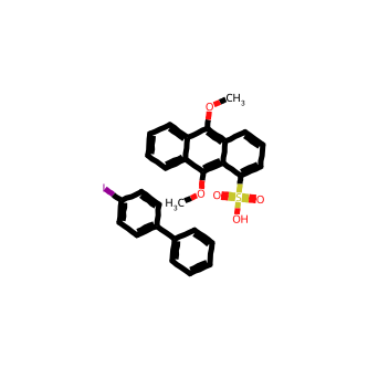 COc1c2ccccc2c(OC)c2c(S(=O)(=O)O)cccc12.Ic1ccc(-c2ccccc2)cc1